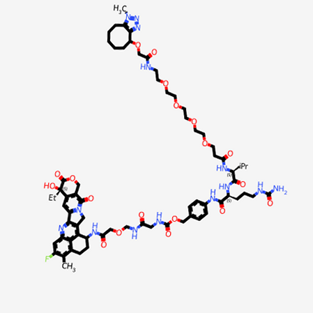 CC[C@@]1(O)C(=O)OCc2c1cc1n(c2=O)Cc2c-1nc1cc(F)c(C)c3c1c2C(NC(=O)COCNC(=O)CNC(=O)OCc1ccc(NC(=O)[C@H](CCCNC(N)=O)NC(=O)[C@@H](NC(=O)CCOCCOCCOCCOCCNC(=O)COC2CCCCCc4c2nnn4C)C(C)C)cc1)CC3